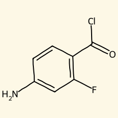 Nc1ccc(C(=O)Cl)c(F)c1